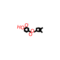 COc1cc(C(=O)OCC2CC3CC2C(C)C3C)ccc1O